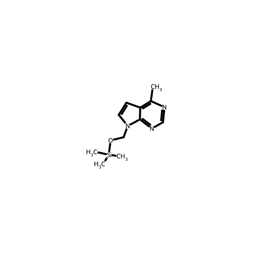 Cc1ncnc2c1ccn2CO[Si](C)(C)C